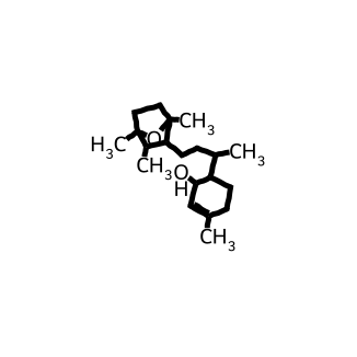 CC1=CC(O)C(C(C)CCC2C(C)C3(C)CCC2(C)O3)CC1